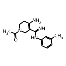 CC(=O)N1CCC(N)=C(C(=N)Nc2cccc(C)c2)C1